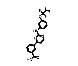 O=C(O)c1cccc(-c2ccnc(Nc3cccc(OC(F)(F)C(F)F)c3)n2)c1